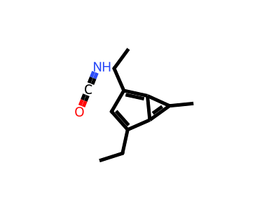 CCc1cc(CC)c2c(C)c1-2.N=C=O